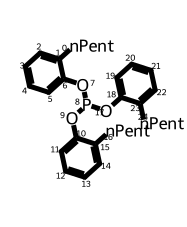 CCCCCc1ccccc1OP(Oc1ccccc1CCCCC)Oc1ccccc1CCCCC